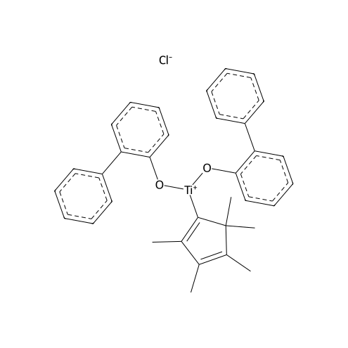 CC1=C(C)C(C)(C)[C]([Ti+]([O]c2ccccc2-c2ccccc2)[O]c2ccccc2-c2ccccc2)=C1C.[Cl-]